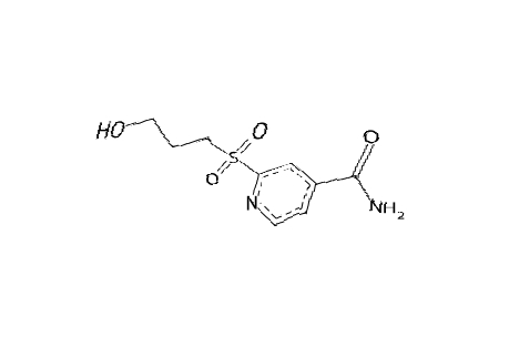 NC(=O)c1ccnc(S(=O)(=O)CCCO)c1